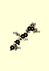 Cc1ccc(N=Nc2c(C)cc(N=Nc3c(SOOO)cc4cc(-n5nc6ccc7c(S(=O)(=O)O)cc(S(=O)(=O)O)cc7c6n5)ccc4c3O)cc2C)c(S(=O)(=O)O)c1